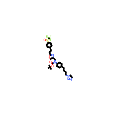 CC(C)(C)OC(=O)N(Cc1coc(/C=C/c2ccc([S+]([O-])C(F)(F)F)cc2)n1)c1ccc(CCCCn2ccnn2)cc1